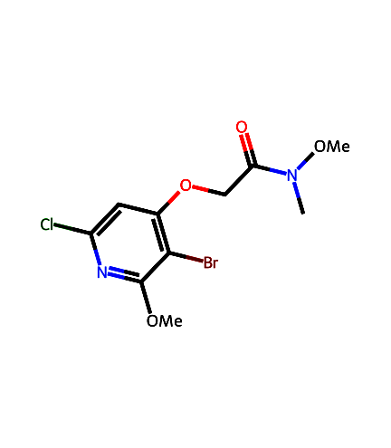 COc1nc(Cl)cc(OCC(=O)N(C)OC)c1Br